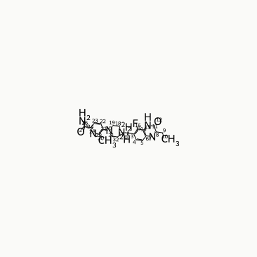 [2H]C([2H])(c1ccc2nc(CC)c(=O)[nH]c2c1F)N1CCN(c2ccc(C(N)=O)nc2C)CC1